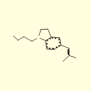 C/C(=C\c1ccc2c(c1)CCN2CCCO)[N+](=O)[O-]